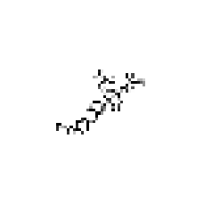 CCOc1ccc(Cc2cc([C@]34CC(OC(=O)CC)CC(COC(=O)CC)(CO3)O4)ccc2C)cc1